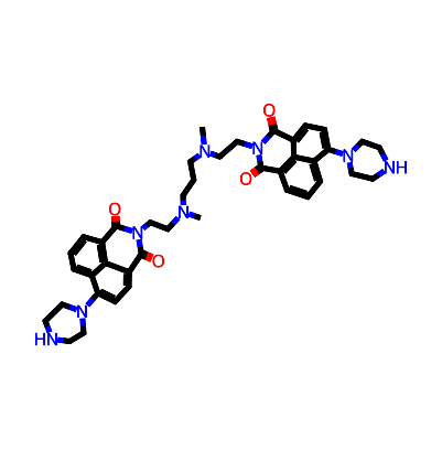 CN(CCCN(C)CCN1C(=O)c2cccc3c(N4CCNCC4)ccc(c23)C1=O)CCN1C(=O)c2cccc3c(N4CCNCC4)ccc(c23)C1=O